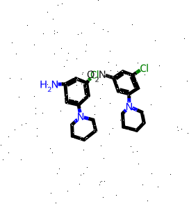 Nc1cc(Cl)cc(N2CCCCC2)c1.O=[N+]([O-])c1cc(Cl)cc(N2CCCCC2)c1